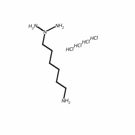 Cl.Cl.Cl.Cl.NCCCCCCN(N)N